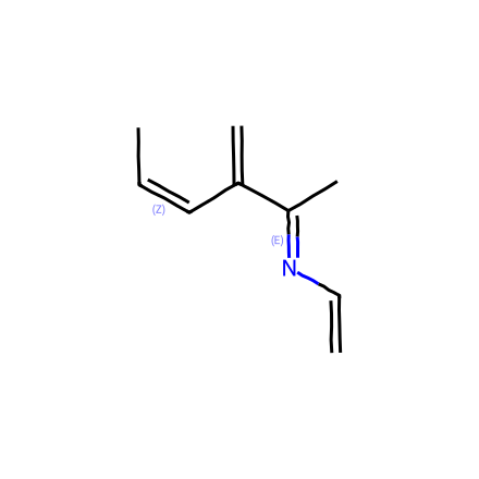 C=C/N=C(\C)C(=C)/C=C\C